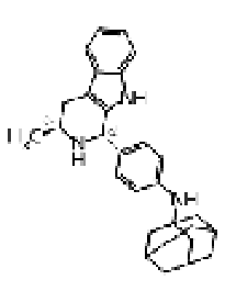 C[C@H]1Cc2c([nH]c3ccccc23)[C@H](c2ccc(NC34CC5CC(CC(C5)C3)C4)cc2)N1